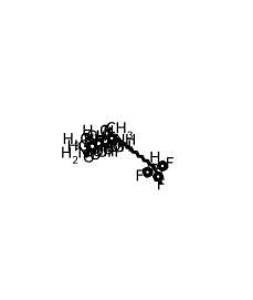 CN(C)c1cc(NC(=O)CCCCCCCCCCC[PH](c2ccc(F)cc2)(c2ccc(F)cc2)c2ccc(F)cc2)c(O)c2c1C[C@H]1C[C@H]3[C@H](N(C)C)C(O)=C(C(N)=O)C(=O)[C@@]3(O)C(O)=C1C2=O